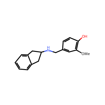 COc1cc(CNC2Cc3ccccc3C2)ccc1O